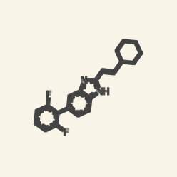 Fc1cccc(F)c1-c1ccc2[nH]c(/C=C/C3CCCCC3)nc2c1